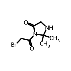 CC1(C)NCC(=O)N1C(=O)CBr